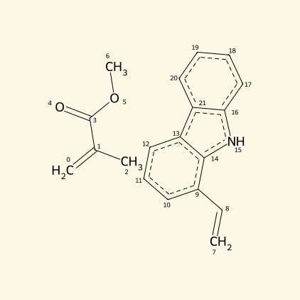 C=C(C)C(=O)OC.C=Cc1cccc2c1[nH]c1ccccc12